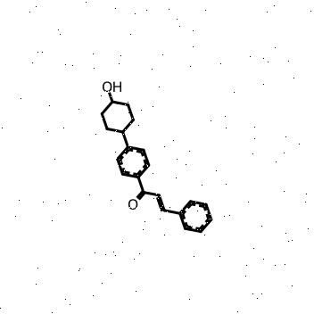 O=C(C=Cc1ccccc1)c1ccc(C2CCC(O)CC2)cc1